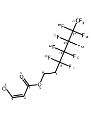 O=C(/C=C\Cl)OCCC(F)(F)C(F)(F)C(F)(F)C(F)(F)C(F)(F)F